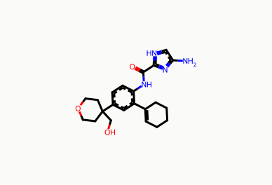 Nc1c[nH]c(C(=O)Nc2ccc(C3(CO)CCOCC3)cc2C2=CCCCC2)n1